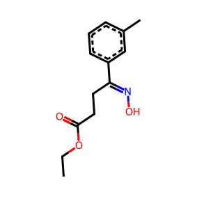 CCOC(=O)CCC(=NO)c1cccc(C)c1